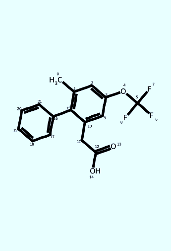 Cc1cc(OC(F)(F)F)cc(CC(=O)O)c1-c1ccccc1